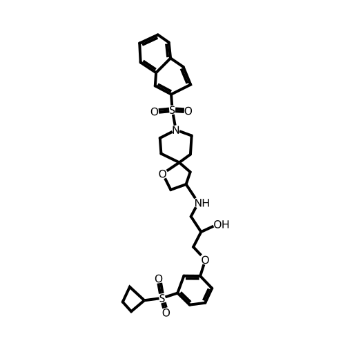 O=S(=O)(c1cccc(OCC(O)CNC2COC3(CCN(S(=O)(=O)c4ccc5ccccc5c4)CC3)C2)c1)C1CCC1